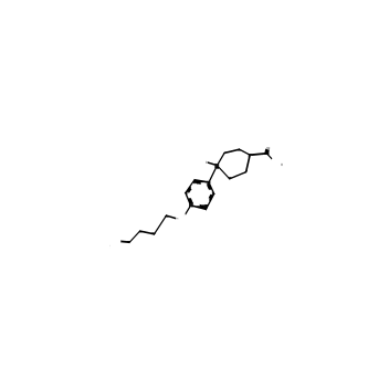 CCCCCOc1ccc(C2(O)CCC(C(=O)O)CC2)cc1